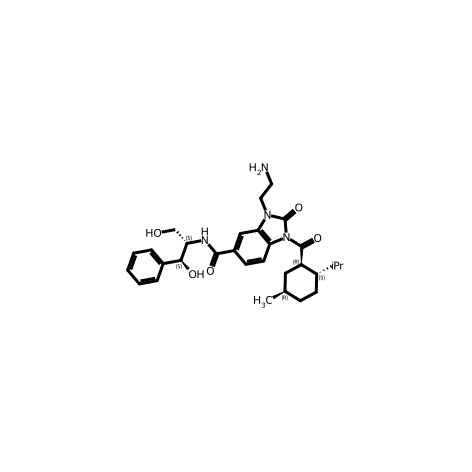 CC(C)[C@@H]1CC[C@@H](C)C[C@H]1C(=O)n1c(=O)n(CCN)c2cc(C(=O)N[C@@H](CO)[C@@H](O)c3ccccc3)ccc21